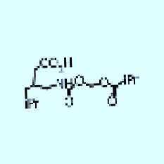 CC(C)C[C@H](CNC(=O)OCOC(=O)C(C)C)CC(=O)O